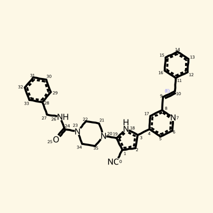 N#Cc1cc(-c2ccnc(/C=C/c3ccccc3)c2)[nH]c1N1CCN(C(=O)NCc2ccccc2)CC1